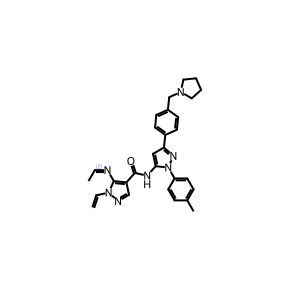 C=Cn1ncc(C(=O)Nc2cc(-c3ccc(CN4CCCC4)cc3)nn2-c2ccc(C)cc2)c1/N=C\C